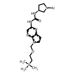 CC(=O)N1CC[C@H](NC(=O)Nc2cnc3c(ccn3COCC[Si](C)(C)C)n2)C1